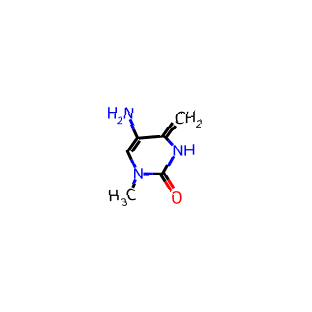 C=C1NC(=O)N(C)C=C1N